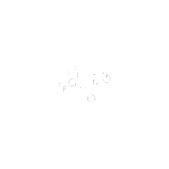 O=CC(c1ccccn1)N1CCC(COCc2cc(C(F)(F)F)cc(C(F)(F)F)c2)(c2ccccc2)CC1